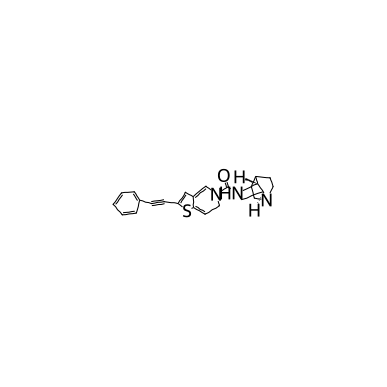 C[C@H]1[C@H](NC(=O)N2C=c3cc(C#Cc4ccccc4)sc3=CC2)C2CCN1CC2